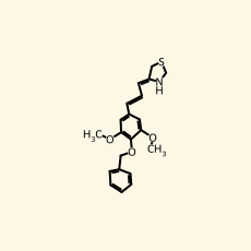 COc1cc(C=CC=C2CSCN2)cc(OC)c1OCc1ccccc1